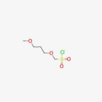 COCCCOCS(=O)(=O)Cl